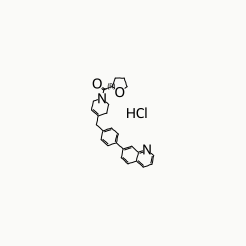 Cl.O=C([C@H]1CCCO1)N1CC=C(Cc2ccc(-c3ccc4cccnc4c3)cc2)CC1